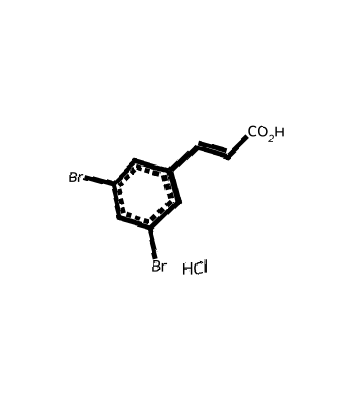 Cl.O=C(O)C=Cc1cc(Br)cc(Br)c1